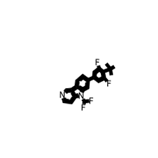 CC(C)(C)c1c(F)cc(-c2ccc3c4cnccc4n(C(F)F)c3c2)cc1F